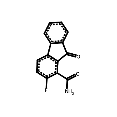 NC(=O)c1c(F)ccc2c1C(=O)c1ccccc1-2